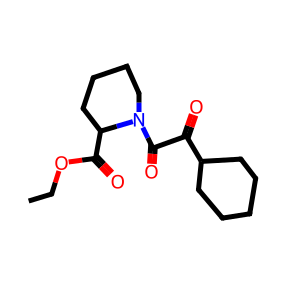 CCOC(=O)C1CCCCN1C(=O)C(=O)C1CCCCC1